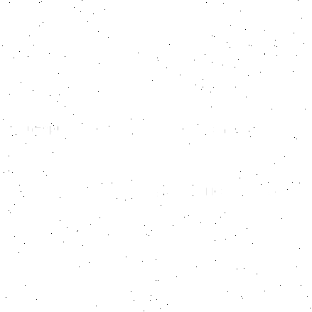 CCCCCCCCCCC[CH2][Ca][CH2]C(O)O.[O-2]